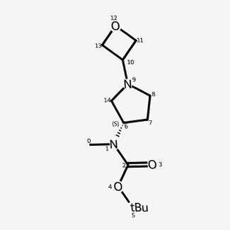 CN(C(=O)OC(C)(C)C)[C@H]1CCN(C2COC2)C1